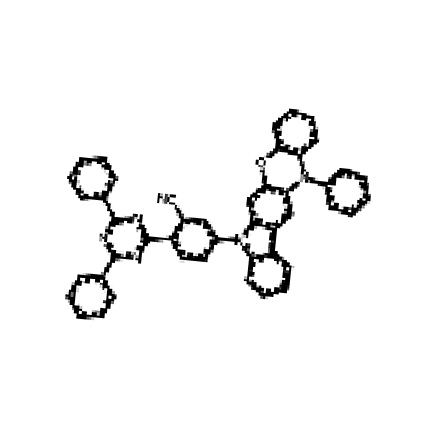 N#Cc1cc(-n2c3ccccc3c3cc4c(cc32)Oc2ccccc2N4c2ccccc2)ccc1-c1nc(-c2ccccc2)nc(-c2ccccc2)n1